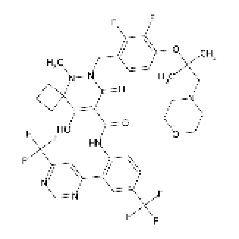 CN1N(Cc2ccc(OC(C)(C)CN3CCOCC3)c(F)c2F)C(=O)C(C(=O)Nc2ccc(C(F)(F)F)cc2-c2cc(C(F)(F)F)ncn2)=C(O)C12CCC2